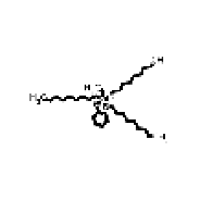 C=CP(CCCCCCCCC)(OCCCCCCCCC)(OCCCCCCCCC)Oc1ccccc1